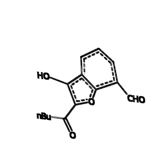 CCCCC(=O)c1oc2c(C=O)cccc2c1O